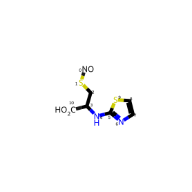 O=NSCC(Nc1nccs1)C(=O)O